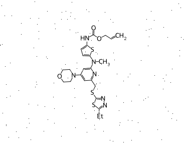 C=CCOC(=O)Nc1ccc(N(C)c2cc(N3CCOCC3)cc(CSc3nnc(CC)s3)n2)s1